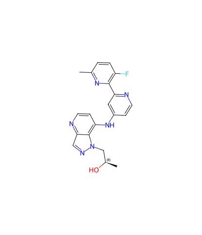 Cc1ccc(F)c(-c2cc(Nc3ccnc4cnn(C[C@@H](C)O)c34)ccn2)n1